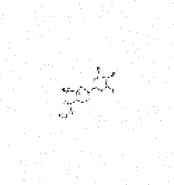 C[C@H]1CN(c2cc(F)c(F)c(F)c2)CCN1C(=O)OC(C)(C)C